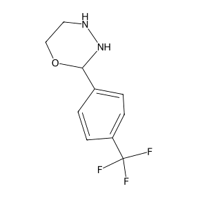 FC(F)(F)c1ccc(C2NNCCO2)cc1